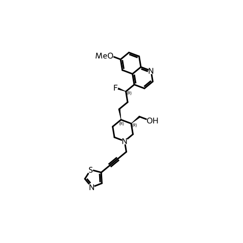 COc1ccc2nccc([C@H](F)CC[C@@H]3CCN(CC#Cc4cncs4)C[C@@H]3CO)c2c1